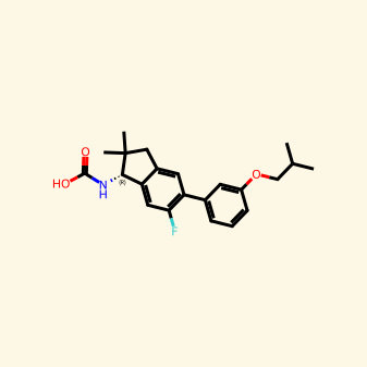 CC(C)COc1cccc(-c2cc3c(cc2F)[C@H](NC(=O)O)C(C)(C)C3)c1